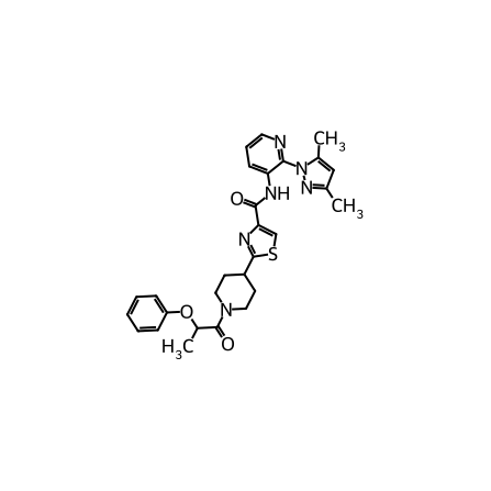 Cc1cc(C)n(-c2ncccc2NC(=O)c2csc(C3CCN(C(=O)C(C)Oc4ccccc4)CC3)n2)n1